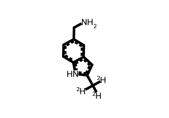 [2H]C([2H])([2H])c1cc2cc(CN)ccc2[nH]1